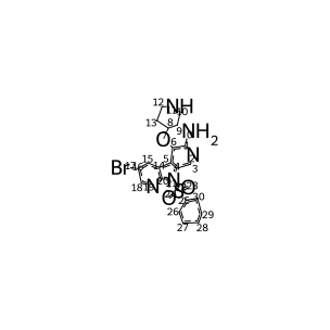 Nc1ncc2c(c1OC1CCNCC1)c1cc(Br)cnc1n2S(=O)(=O)c1ccccc1